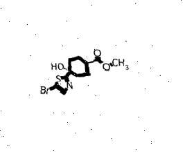 COC(=O)[C@H]1CC[C@@](O)(c2ncc(Br)s2)CC1